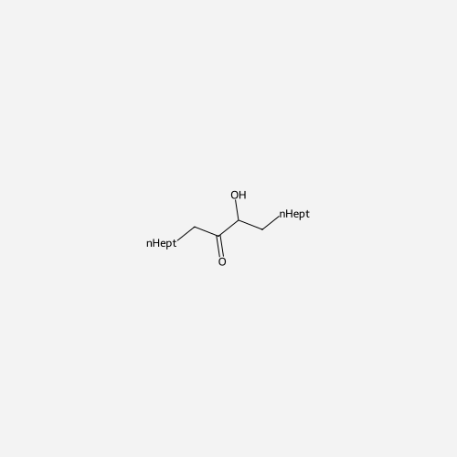 CCCCCCCCC(=O)C(O)CCCCCCCC